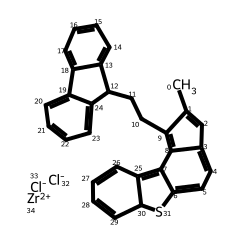 CC1=Cc2ccc3c(c2=C1CCC1c2ccccc2-c2ccccc21)=C1C=CC=CC1S3.[Cl-].[Cl-].[Zr+2]